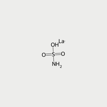 NS(=O)(=O)O.[La]